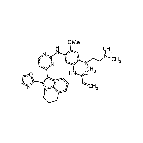 C=CC(=O)Nc1cc(Nc2nccc(-c3c(-c4ncco4)n4c5c(cccc35)CCC4)n2)c(OC)cc1N(C)CCN(C)C